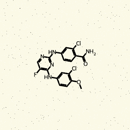 COc1ccc(Nc2nc(Nc3ccc(C(N)=O)c(Cl)c3)ncc2F)cc1Cl